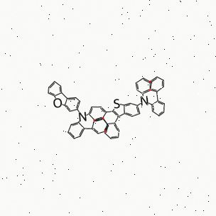 c1ccc(-c2ccccc2N(c2ccccc2)c2ccc3c(c2)sc2c4ccc(N(c5ccc6c(c5)oc5ccccc56)c5ccccc5-c5ccccc5)cc4c4ccccc4c32)cc1